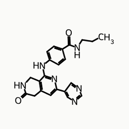 CCCNC(=O)c1ccc(Nc2nc(-c3cncnc3)cc3c2CNC(=O)C3)cc1